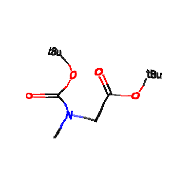 CN(CC(=O)OC(C)(C)C)C(=O)OC(C)(C)C